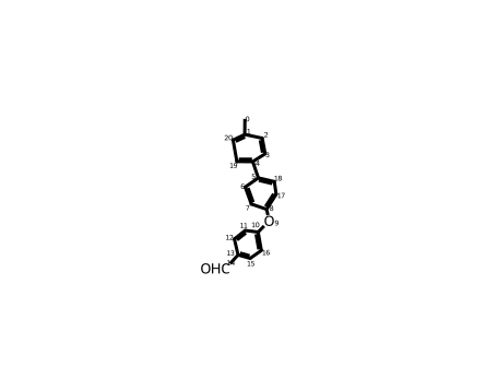 Cc1ccc(-c2ccc(Oc3ccc(C=O)cc3)cc2)cc1